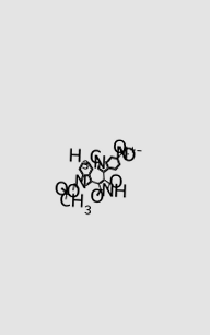 CC(=O)OCn1cc(C2=C(c3cn(C)c4cc([N+](=O)[O-])ccc34)C(=O)NC2=O)c2ccccc21